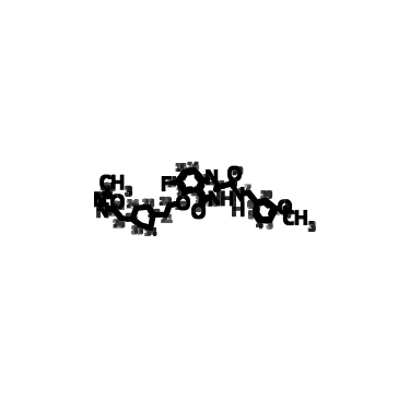 COc1cccc(CNC(=O)c2nc3ccc(F)c(OCCC4CCC(Cc5nnc(C)o5)CC4)c3c(=O)[nH]2)c1